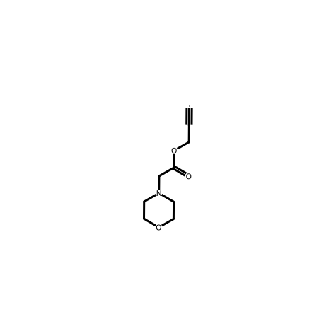 [C]#CCOC(=O)CN1CCOCC1